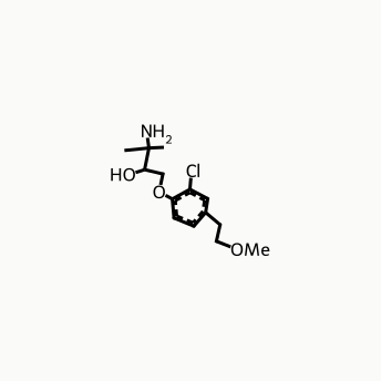 COCCc1ccc(OCC(O)C(C)(C)N)c(Cl)c1